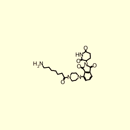 NCCCCCCC(=O)N1CCN(c2cccc3c2C(=O)N(C2CCC(=O)NC2=O)C3=O)CC1